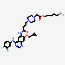 CCCCCCOC(=O)CN1CCN(CC=CC(=O)Nc2cc3c(Nc4ccc(F)c(Cl)c4)ncnc3cc2OCC2CC2)CC1